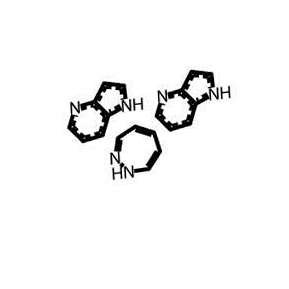 C1=CC=NNC=C1.c1cnc2cc[nH]c2c1.c1cnc2cc[nH]c2c1